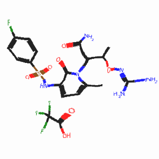 Cc1ccc(NS(=O)(=O)c2ccc(F)cc2)c(=O)n1C(C(N)=O)C(C)ON=C(N)N.O=C(O)C(F)(F)F